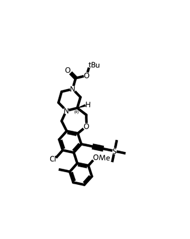 COc1cccc(C)c1-c1c(Cl)cc2c(c1C#CS(C)(C)C)OC[C@H]1CN(C(=O)OC(C)(C)C)CCN1C2